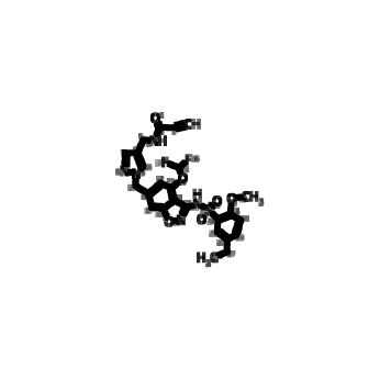 C#CC(=O)NCc1cnn(Cc2cc(OC(F)F)c3c(NS(=O)(=O)c4cc(CC)ccc4OC)noc3c2)c1